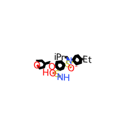 CCc1ccc(N(CC(C)C)[S+]([O-])c2ccc(OCC3CCOCC3)c(S(=N)O)c2)cc1